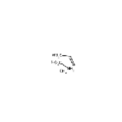 C.C=CC(=O)O.NC(=O)O